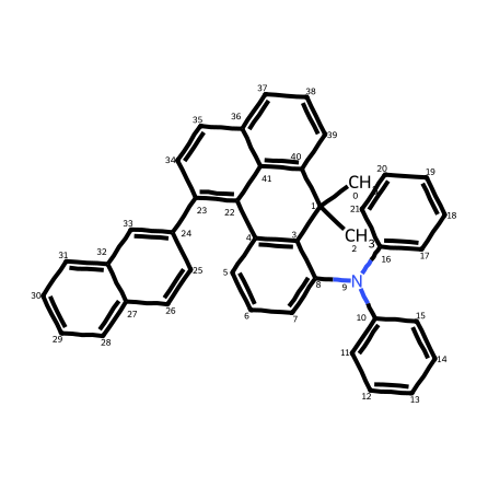 CC1(C)c2c(cccc2N(c2ccccc2)c2ccccc2)-c2c(-c3ccc4ccccc4c3)ccc3cccc1c23